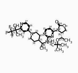 CC(OC(C)(C)C)[C@H]1COC(=O)N1c1ccnc(N[C@@H](C)C2CCN(c3ccnc(C(C)(C)C(F)(F)F)c3)CC2)n1